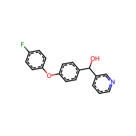 OC(c1ccc(Oc2ccc(F)cc2)cc1)c1cccnc1